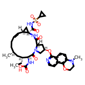 CC[C@@H]1C[C@H](C)CCC=C[C@@H]2C[C@@]2(C(=O)NS(=O)(=O)C2CC2)NC(=O)[C@@H]2C[C@@H](Oc3nccc4c5c(ccc34)N(C)CCO5)CN2C(=O)[C@H]1NC(=O)O